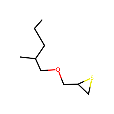 CCCC(C)COCC1CS1